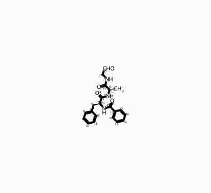 C[C@H](NC(=O)[C@H](Cc1ccccc1)NC(=O)c1ccccc1)C(=O)NCC=O